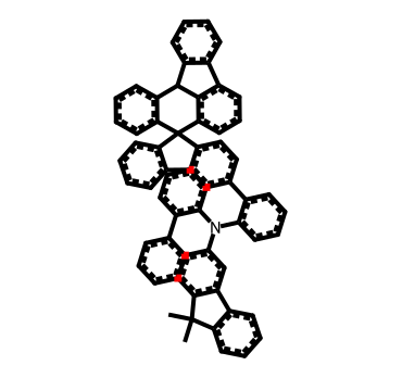 CC1(C)c2ccccc2-c2cc(N(c3ccccc3-c3ccccc3)c3ccccc3-c3ccc4c(c3)-c3ccccc3C43c4ccccc4C4c5ccccc5-c5cccc3c54)ccc21